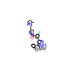 COc1ccccc1-c1c[nH]c2ncc(-c3cc(F)cc(C(=O)N4CCC(CCN5C(C)CCCC5C)CC4)c3)cc12